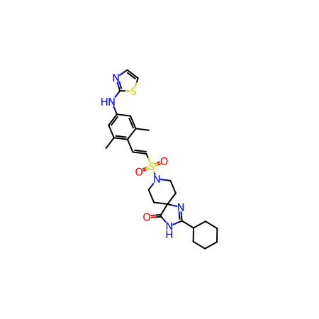 Cc1cc(Nc2nccs2)cc(C)c1/C=C/S(=O)(=O)N1CCC2(CC1)N=C(C1CCCCC1)NC2=O